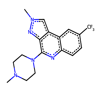 CN1CCN(c2nc3ccc(C(F)(F)F)cc3c3cn(C)nc23)CC1